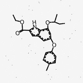 CCOC(=O)c1cc2cc(Oc3ccc(C)cc3)cc(OC(C)CC)c2[nH]1